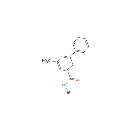 CCCNC(=O)c1cc(C(=O)O)cc(-c2ccccc2)c1